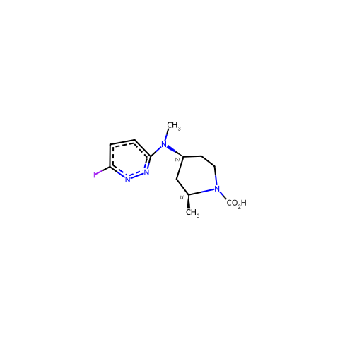 C[C@H]1C[C@@H](N(C)c2ccc(I)nn2)CCN1C(=O)O